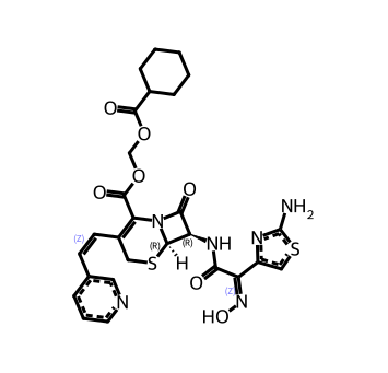 Nc1nc(/C(=N/O)C(=O)N[C@@H]2C(=O)N3C(C(=O)OCOC(=O)C4CCCCC4)=C(/C=C\c4cccnc4)CS[C@H]23)cs1